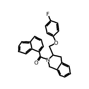 O=C(c1cccc2ccccc12)N1Cc2ccccc2CC1COc1ccc(F)cc1